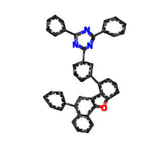 c1ccc(-c2nc(-c3ccccc3)nc(-c3cccc(-c4cccc5oc6c7ccccc7c(-c7ccccc7)cc6c45)c3)n2)cc1